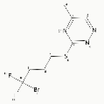 Cc1cnnc(SCCCC(F)(F)Br)n1